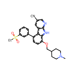 [C-]#[N+]c1cnc2[nH]c3c(OCC4CCN(C)CC4)ccc(-c4cccc(S(=O)(=O)CC)c4)c3c2c1